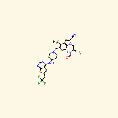 C=C(Cn1c(C#N)cc2c(C)c(CN3CCC(Nc4ncnc5sc(CC(F)(F)F)cc45)CC3)ccc21)NC=O